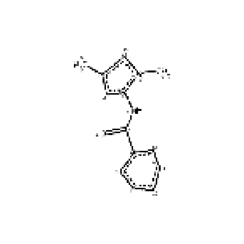 Cc1cc(NC(=O)c2[c]cccc2)n(C)n1